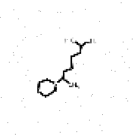 CC(C)CCCCC(C)N1CCCCC1